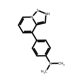 CN(C)c1ccc(C2=CC=CN3SNC=C23)cc1